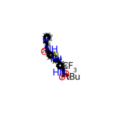 CC(C)(C)OC(=O)NCc1ccc(-c2cn3c(n2)sc2cc(C(=O)NCCCN4CCCCC4)ccc23)cc1C(F)(F)F